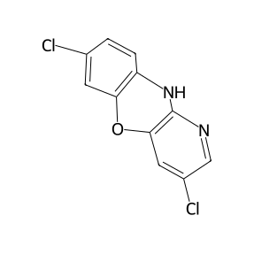 Clc1ccc2c(c1)Oc1cc(Cl)cnc1N2